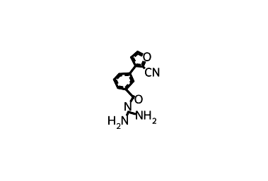 N#Cc1occc1-c1cccc(C(=O)N=C(N)N)c1